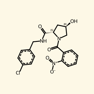 O=C(NCc1ccc(Cl)cc1)[C@@H]1C[C@@H](O)CN1C(=O)c1ccccc1[N+](=O)[O-]